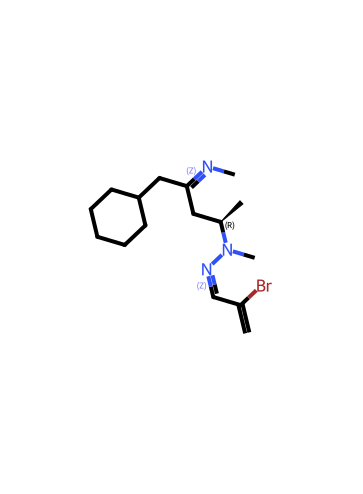 C=C(Br)/C=N\N(C)[C@H](C)C/C(CC1CCCCC1)=N\C